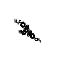 Cc1ccc(S(=O)(=O)OC(C2CCNC2)S(=O)(=O)c2ccc(C)cc2)cc1